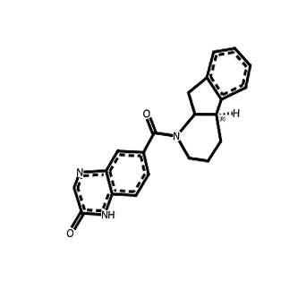 O=C(c1ccc2[nH]c(=O)cnc2c1)N1CCC[C@@H]2c3ccccc3CC21